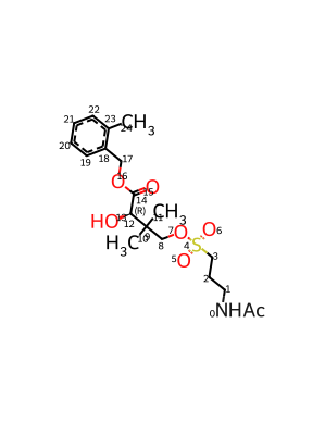 CC(=O)NCCCS(=O)(=O)OCC(C)(C)[C@@H](O)C(=O)OCc1ccccc1C